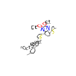 CCCCCCCC[Si]1(CCCCCCC)c2cc(C)ccc2-c2ccc(-c3ccc(-c4ccc(-c5ccc(C)s5)c5nc(OCC)c(OCC)nc45)s3)cc21